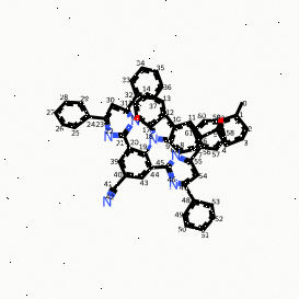 Cc1cccc(-c2ccc3c(c2)c2ccccc2n3-c2c(-c3nc(-c4ccccc4)cc(-c4ccccc4)n3)cc(C#N)cc2-c2nc(-c3ccccc3)cc(-c3ccccc3)n2)c1